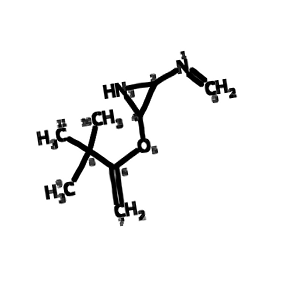 C=NC1NC1OC(=C)C(C)(C)C